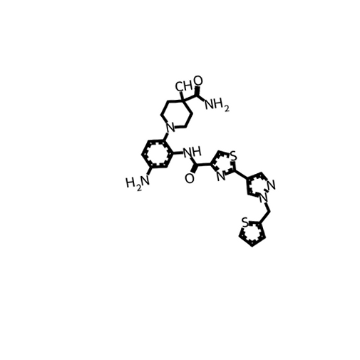 CC1(C(N)=O)CCN(c2ccc(N)cc2NC(=O)c2csc(-c3cnn(Cc4cccs4)c3)n2)CC1